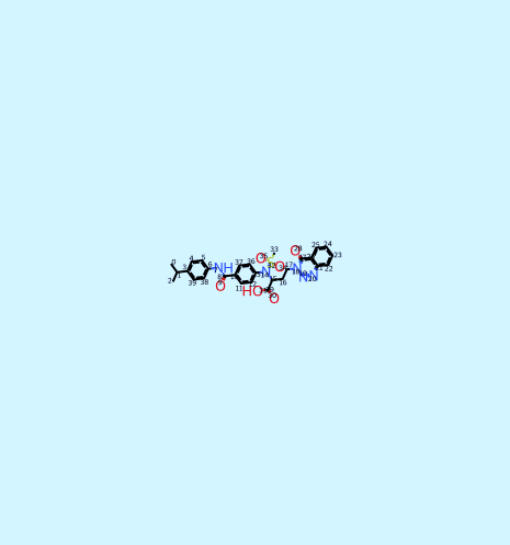 CC(C)c1ccc(NC(=O)c2ccc(N(C(CCn3nnc4ccccc4c3=O)C(=O)O)S(C)(=O)=O)cc2)cc1